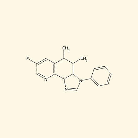 CC1c2cc(F)cnc2N2N=CN(c3ccccc3)C2C1C